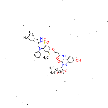 CCCCC1(CCCC)CN(c2ccccc2)c2cc(SC)c(OCCC(=O)N[C@@H](C(=O)N[C@@H](C[Si](C)(C)C)C(=O)O)c3ccc(O)cc3)cc2S(=O)(=O)N1